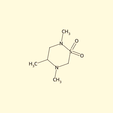 CC1CN(C)S(=O)(=O)CN1C